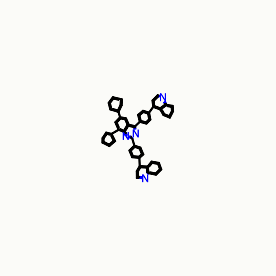 c1ccc(-c2cc(-c3ccccc3)c3nc(-c4ccc(-c5ccnc6ccccc56)cc4)nc(-c4ccc(-c5ccnc6ccccc56)cc4)c3c2)cc1